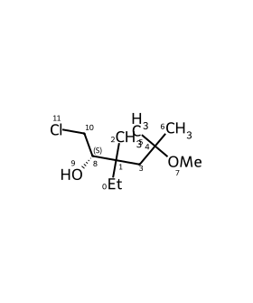 CCC(C)(CC(C)(C)OC)[C@H](O)CCl